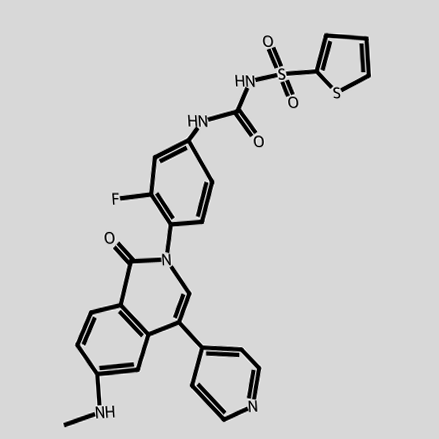 CNc1ccc2c(=O)n(-c3ccc(NC(=O)NS(=O)(=O)c4cccs4)cc3F)cc(-c3ccncc3)c2c1